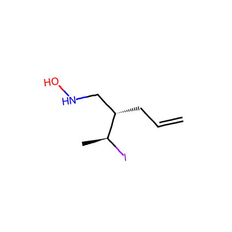 C=CC[C@@H](CNO)[C@H](C)I